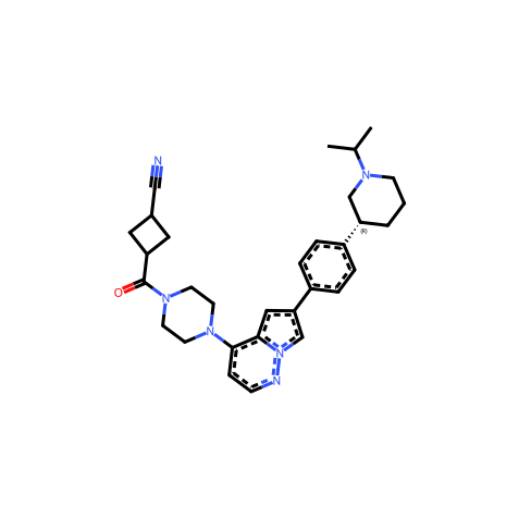 CC(C)N1CCC[C@H](c2ccc(-c3cc4c(N5CCN(C(=O)C6CC(C#N)C6)CC5)ccnn4c3)cc2)C1